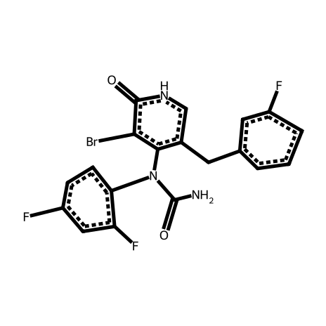 NC(=O)N(c1ccc(F)cc1F)c1c(Cc2cccc(F)c2)c[nH]c(=O)c1Br